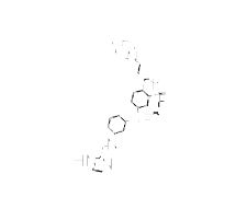 O=C(C=CN1CCOCC1)c1ccc(Sc2cccc(NCc3ncc[nH]3)c2)c(C(F)(F)F)c1C(F)(F)F